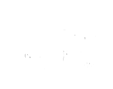 COc1c(Nc2c(F)cc(C)c3c2C(=O)NC3C)c(=O)c1=O